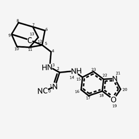 N#C/N=C(\NCC12CC3CC(CC1C3)C2)Nc1ccc2ocnc2c1